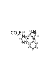 CCOC(=O)N1C=NC2c3ccccc3-n3cncc3N21